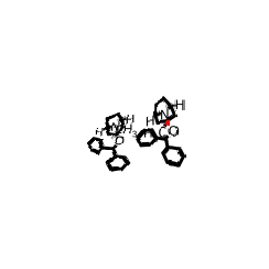 CCN1[C@@H]2CC[C@H]1C[C@@H](OC(c1ccccc1)c1ccccc1)C2.CN1[C@@H]2CC[C@H]1C[C@@H](OC(c1ccccc1)c1ccccc1)C2